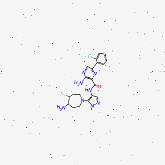 Cn1ncc(NC(=O)c2nc(-c3ccccc3F)cnc2N)c1N1CCC(N)C(F)CC1